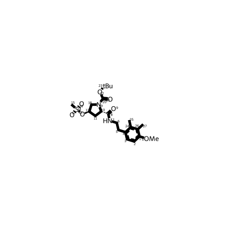 COc1ccc(CCNC(=O)[C@@H]2C[C@@H](OS(C)(=O)=O)CN2C(=O)OC(C)(C)C)c(C)c1C